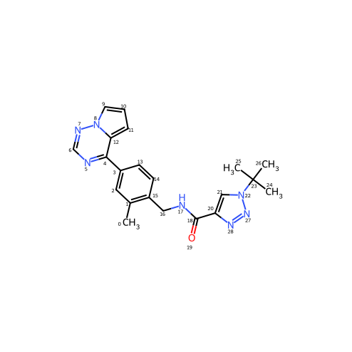 Cc1cc(-c2ncnn3cccc23)ccc1CNC(=O)c1cn(C(C)(C)C)nn1